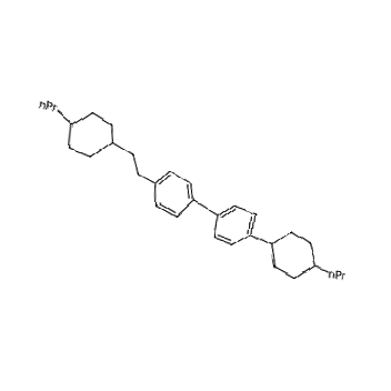 CCCC1CCC(CCc2ccc(-c3ccc(C4CCC(CCC)CC4)cc3)cc2)CC1